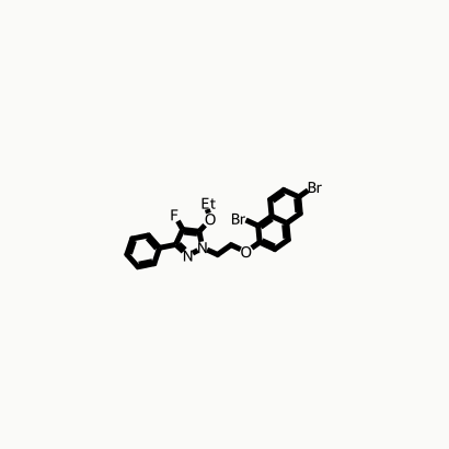 CCOc1c(F)c(-c2ccccc2)nn1CCOc1ccc2cc(Br)ccc2c1Br